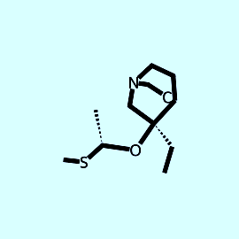 CC[C@]1(O[C@@H](C)SC)CN2CCC1CC2